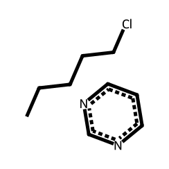 CCCCCCl.c1cncnc1